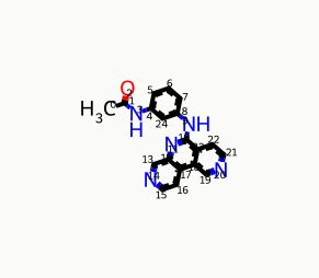 CC(=O)Nc1cccc(Nc2nc3cnccc3c3cnccc23)c1